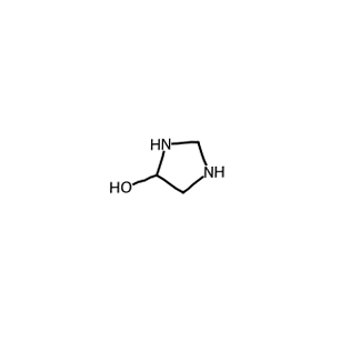 OC1CNCN1